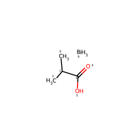 CC(C)C(=O)O.[BiH3]